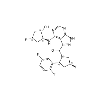 O=C(c1n[nH]c2ncnc(N[C@H]3C[C@H](F)C[C@@H]3O)c12)N1C[C@@H](F)C[C@@H]1c1cc(F)ccc1F